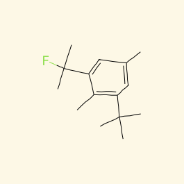 Cc1cc(C(C)(C)C)c(C)c(C(C)(C)F)c1